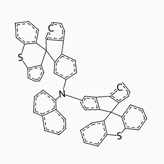 c1ccc2c(c1)Sc1ccccc1C21c2ccccc2-c2cc(N(c3ccc4c(c3)C3(c5ccccc5Sc5ccccc53)c3ccccc3-4)c3cccc4ccccc34)ccc21